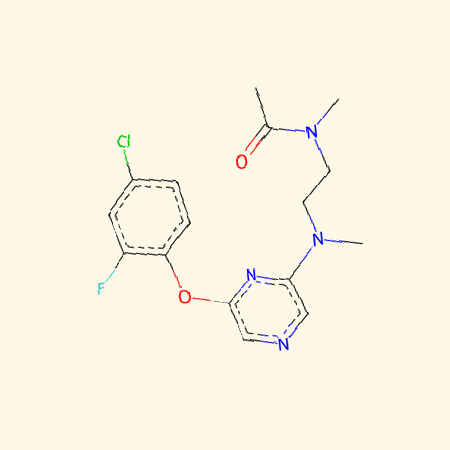 CC(=O)N(C)CCN(C)c1cncc(Oc2ccc(Cl)cc2F)n1